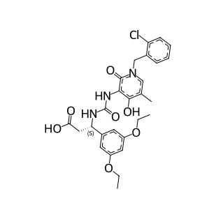 CCOc1cc(OCC)cc([C@H](CC(=O)O)NC(=O)Nc2c(O)c(C)cn(Cc3ccccc3Cl)c2=O)c1